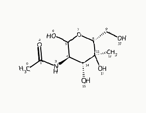 CC(=O)N[C@H]1C(O)O[C@H](CO)[C@@](C)(O)[C@@H]1O